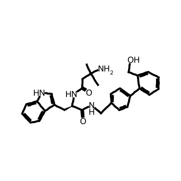 CC(C)(N)CC(=O)N[C@H](Cc1c[nH]c2ccccc12)C(=O)NCc1ccc(-c2ccccc2CO)cc1